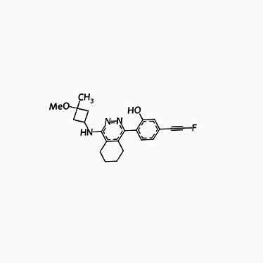 COC1(C)CC(Nc2nnc(-c3ccc(C#CF)cc3O)c3c2CCCC3)C1